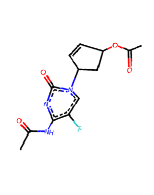 CC(=O)Nc1nc(=O)n(C2C=CC(OC(C)=O)C2)cc1F